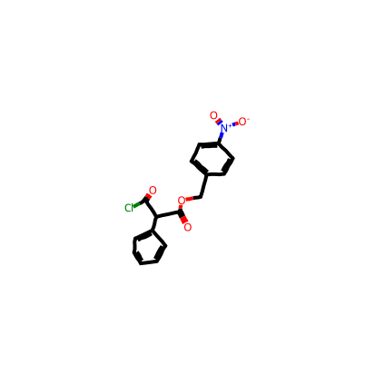 O=C(Cl)C(C(=O)OCc1ccc([N+](=O)[O-])cc1)c1ccccc1